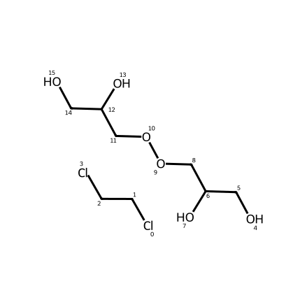 ClCCCl.OCC(O)COOCC(O)CO